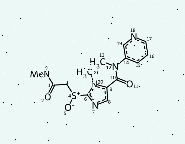 CNC(=O)C[S+]([O-])c1ncc(C(=O)N(C)c2cccnc2)n1C